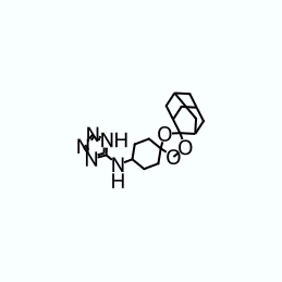 C1C2CC3CC1CC(C2)C31OOC2(CCC(Nc3nnn[nH]3)CC2)O1